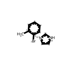 Cc1ccccc1Br.c1c[nH]cn1